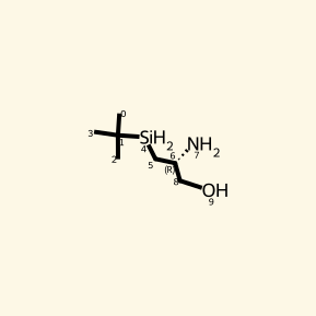 CC(C)(C)[SiH2]C[C@H](N)CO